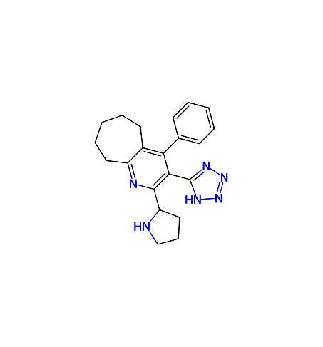 c1ccc(-c2c3c(nc(C4CCCN4)c2-c2nnn[nH]2)CCCCC3)cc1